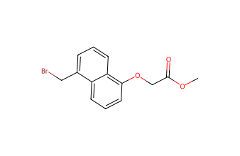 COC(=O)COc1cccc2c(CBr)cccc12